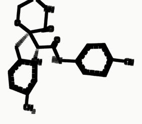 Cc1ccc(C[C@]2([C@@H](O)C(=O)Nc3ccc(C#N)cc3)OCCNC2=O)cc1